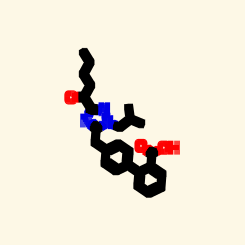 CCCCC(=O)c1nc(Cc2ccc(-c3ccccc3C(=O)O)cc2)n(CC(C)C)n1